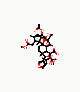 COC(=O)CC1C2(C)CC34OC5(C)OC67C(/C(=C(/OC)C(C)C)C(=O)OC6C3(OC)C2OC(C)=O)C(C)(C(OC(C)=O)c2ccoc2)CCC7(O5)C14C